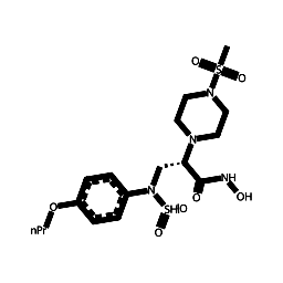 CCCOc1ccc(N(C[C@@H](C(=O)NO)N2CCN(S(C)(=O)=O)CC2)[SH](=O)=O)cc1